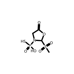 CS(=O)(=O)C1OC(=O)CN1P(=O)(O)S